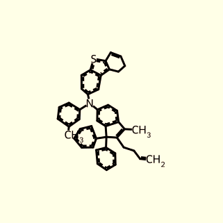 C=CCCC1=C(C)c2ccc(N(c3cccc(C)c3)c3ccc4sc5c(c4c3)CCC=C5)cc2C1(c1ccccc1)c1ccccc1